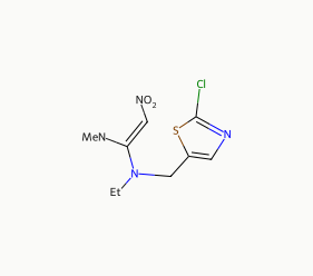 CCN(Cc1cnc(Cl)s1)C(=C[N+](=O)[O-])NC